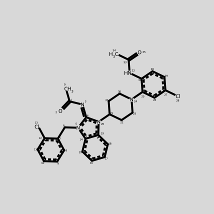 CC(=O)/N=c1\n(Cc2ccccc2Cl)c2ccccc2n1C1CCN(c2cc(Cl)ccc2NC(C)=O)CC1